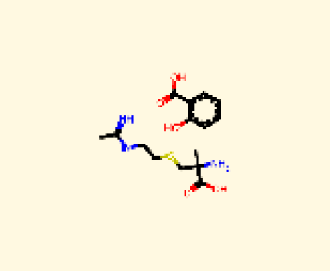 CC(=N)NCCSC[C@](C)(N)C(=O)O.O=C(O)c1ccccc1O